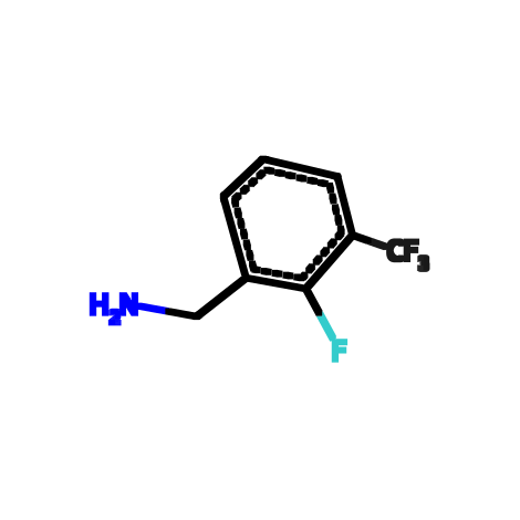 NCc1cccc(C(F)(F)F)c1F